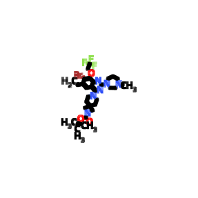 C=Cc1cc2c(N3CCC4(CC3)CN(C(=O)OC(C)(C)C)C4)nc(N3CCCN(C)CC3)nc2c(OCC(F)(F)F)c1Br